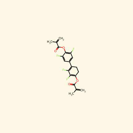 C=C(C)C(=O)OC1=C(F)C(F)=C(c2cc(F)c(OC(=O)C(=C)C)c(F)c2)CC1